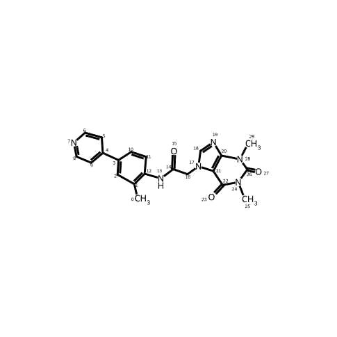 Cc1cc(-c2ccncc2)ccc1NC(=O)Cn1cnc2c1c(=O)n(C)c(=O)n2C